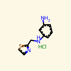 Cl.Nc1cccc(NCc2nccs2)c1